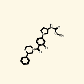 CC(C)(C)OC(=O)NC1CCN(c2ccc(C(=O)N3CCOC(c4ccccc4)C3)c(Cl)c2)C1